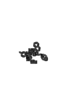 Cc1ccc(-n2nc(C(C)(C)C)cc2NC(=O)Nc2c(OCCN3CCOCC3)ccc3ccccc23)cc1